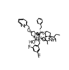 CCC(C)[C@@]1(NC(C)=O)CCN([C@@H](CCc2ccccc2)C(=O)N[C@@H](Cc2cc(F)cc(F)c2)[C@H](O)[C@H]2C[C@@H](OCc3ccccn3)CN2)C1=O